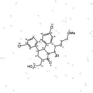 CCC(COCCOC)N1C(=O)C(CC(=O)O)CC(c2cccc(Cl)c2)C1c1ccc(Cl)cc1